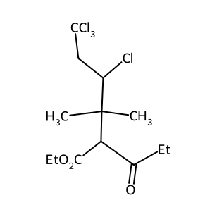 CCOC(=O)C(C(=O)CC)C(C)(C)C(Cl)CC(Cl)(Cl)Cl